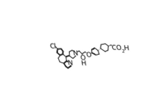 O=C(O)C[C@H]1CC[C@H](C2C=CC(OCC(O)CN3CCC(=C4c5ccc(Cl)cc5CCc5cccnc54)CC3)=CC2)CC1